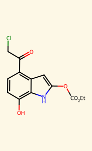 CCOC(=O)Oc1cc2c(C(=O)CCl)ccc(O)c2[nH]1